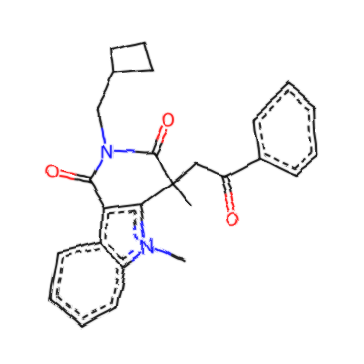 Cn1c2c(c3ccccc31)C(=O)N(CC1CCC1)C(=O)C2(C)CC(=O)c1ccccc1